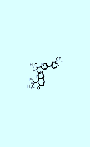 CC(C)[C@H](C)n1c(=O)ccc2cnc(N[C@@H](C)c3ccc(-c4ccnc(C(F)(F)F)c4)cn3)nc21